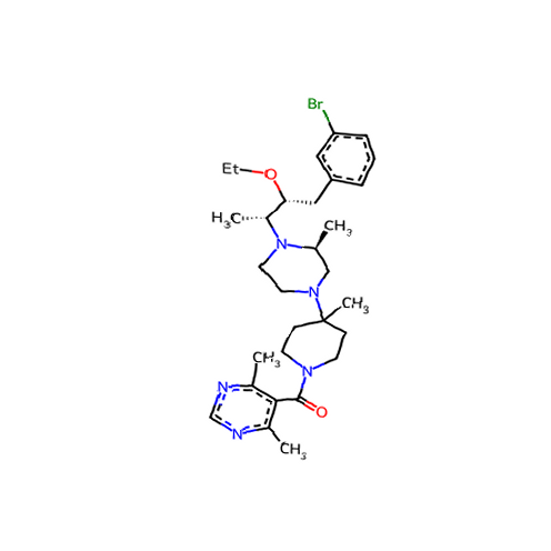 CCO[C@H](Cc1cccc(Br)c1)[C@@H](C)N1CCN(C2(C)CCN(C(=O)c3c(C)ncnc3C)CC2)C[C@@H]1C